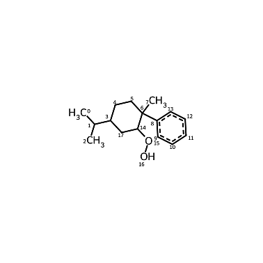 CC(C)C1CCC(C)(c2ccccc2)C(OO)C1